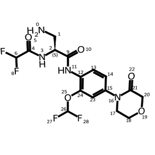 NC[C@H](NC(=O)C(F)F)C(=O)Nc1ccc(N2CCOCC2=O)cc1OC(F)F